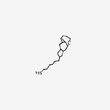 SCCCCCCC1CC2CC3CCCCC4CCC3C4CC2C1